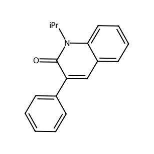 CC(C)n1c(=O)c(-c2ccccc2)cc2ccccc21